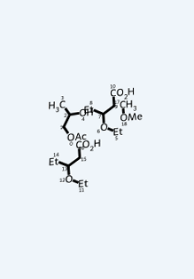 CC(=O)OCC(C)O.CCOC(CC)CC(=O)O.CCOC(CC)CC(=O)O.COC